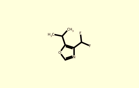 CC(C)c1ocnc1C(F)F